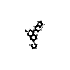 CN1Cc2cc(N3CCCC3)ccc2C(c2cnc3ccsc3c2)C1